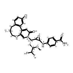 CO[C@H](C[C@@H](C1OC1Nc1ccc(C(N)=O)cc1)n1cc2c(cc1=O)-c1cc(Cl)ccc1C[C@@H](C)CO2)C(F)F